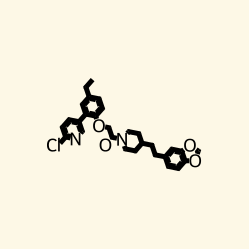 CCc1ccc(OCC(=O)N2CCC(CCc3ccc4c(c3)OCO4)CC2)c(-c2ccc(Cl)nc2)c1